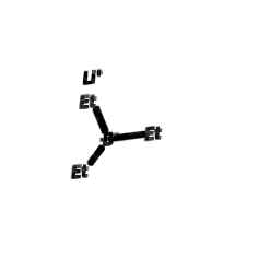 CC[B-](CC)CC.[Li+]